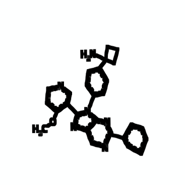 COc1ccncc1-c1nc2cnc(-c3ccccc3)nc2n1-c1ccc(C2(N)CCC2)cc1